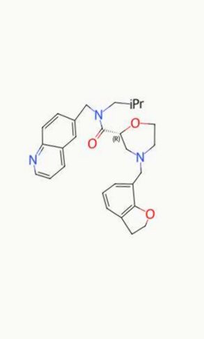 CC(C)CN(Cc1ccc2ncccc2c1)C(=O)[C@H]1CN(Cc2cccc3c2OCC3)CCO1